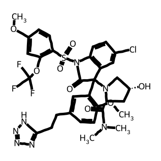 COc1ccc(S(=O)(=O)N2C(=O)C(c3cc(CCc4nnn[nH]4)ccc3OC)(N3C[C@H](O)C[C@H]3C(=O)N(C)C)c3cc(Cl)ccc32)c(OC(F)(F)F)c1